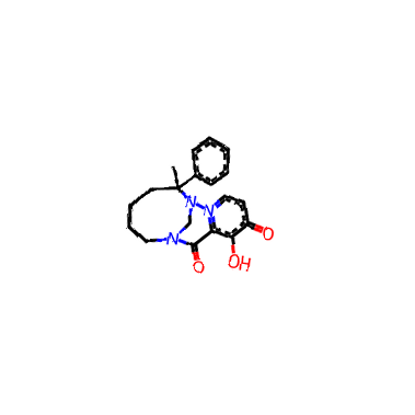 CC1(c2ccccc2)CCCCN2CN1n1ccc(=O)c(O)c1C2=O